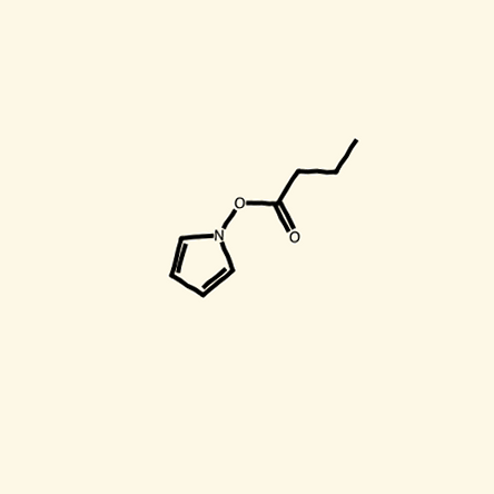 CCCC(=O)On1cccc1